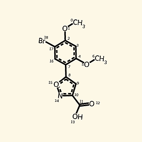 COc1cc(OC)c(-c2cc(C(=O)O)no2)cc1Br